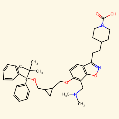 CN(C)Cc1c(OCC2CC2CO[Si](c2ccccc2)(c2ccccc2)C(C)(C)C)ccc2c(CCC3CCN(C(=O)O)CC3)noc12